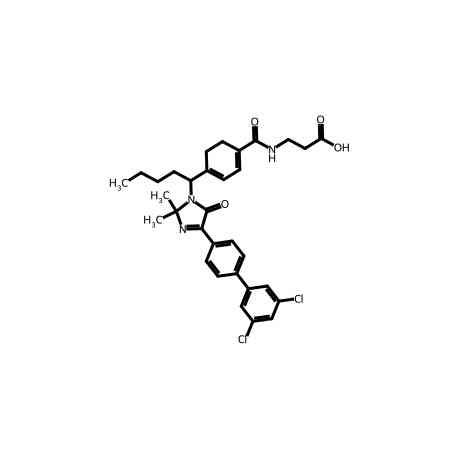 CCCCC(C1=CC=C(C(=O)NCCC(=O)O)CC1)N1C(=O)C(c2ccc(-c3cc(Cl)cc(Cl)c3)cc2)=NC1(C)C